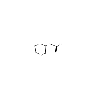 NC(=O)NC1CNCCO1